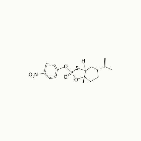 C=C(C)[C@@H]1CC[C@]2(C)OP(=O)(Oc3ccc([N+](=O)[O-])cc3)S[C@H]2C1